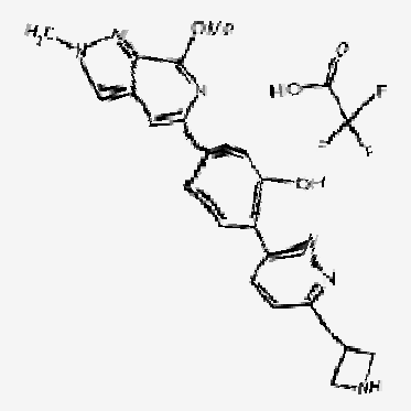 COc1nc(-c2ccc(-c3ccc(C4CNC4)nn3)c(O)c2)cc2cn(C)nc12.O=C(O)C(F)(F)F